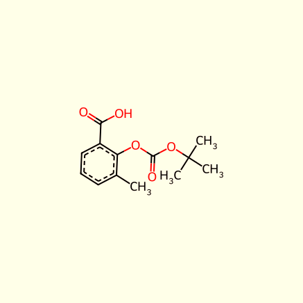 Cc1cccc(C(=O)O)c1OC(=O)OC(C)(C)C